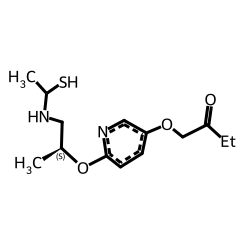 CCC(=O)COc1ccc(O[C@@H](C)CNC(C)S)nc1